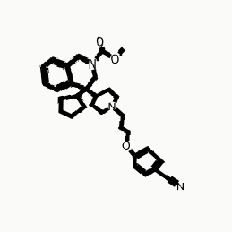 COC(=O)N1Cc2ccccc2C(C2CCCC2)(C2CCN(CCCOc3ccc(C#N)cc3)CC2)C1